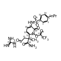 CCCc1ccc(S(=O)(=O)Nc2ccc(C(C)(CCONC(=N)N)C(N)=O)n(OC(=O)C(F)(F)F)c2=O)cc1